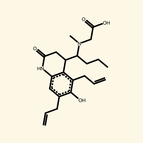 C=CCc1cc2c(c(CC=C)c1O)C(C(CCC)N(C)CC(=O)O)CC(=O)N2